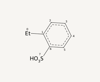 [CH2]Cc1ccccc1S(=O)(=O)O